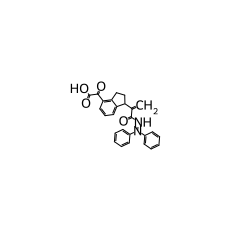 C=C(C(=O)NN(c1ccccc1)c1ccccc1)C1CCc2c(C(=O)C(=O)O)cccc21